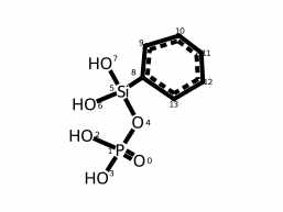 O=P(O)(O)O[Si](O)(O)c1ccccc1